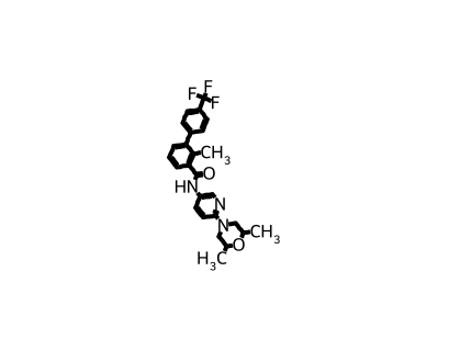 Cc1c(C(=O)Nc2ccc(N3CC(C)OC(C)C3)nc2)cccc1-c1ccc(C(F)(F)F)cc1